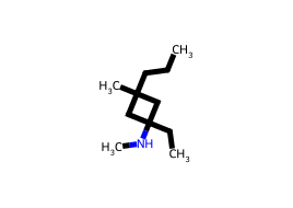 CCCC1(C)CC(CC)(NC)C1